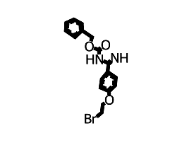 N=C(NC(=O)OCc1ccccc1)c1ccc(OCCBr)cc1